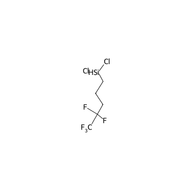 FC(F)(F)C(F)(F)CCC[SiH](Cl)Cl